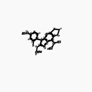 CCCCN(CC)c1c2c(nc3c(-c4ccc(OC)cc4C)c(COC)nn13)CCC2